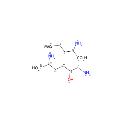 CSCCC(N)C(=O)O.NCC(O)CCC(N)C(=O)O